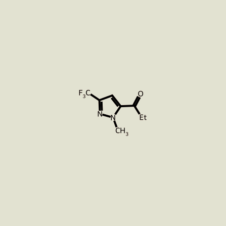 CCC(=O)c1cc(C(F)(F)F)nn1C